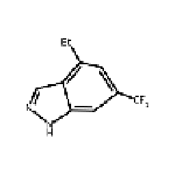 CCc1cc(C(F)(F)F)cc2[nH]ncc12